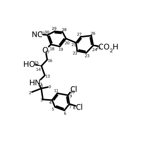 CC(C)(Cc1ccc(Cl)c(Cl)c1)NC[C@@H](O)COc1cc(-c2ccc(C(=O)O)cc2)ccc1C#N